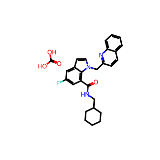 O=C(NCC1CCCCC1)c1cc(F)cc2ccn(Cc3ccc4ccccc4n3)c12.O=C(O)O